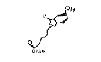 COC(=O)CCCCN1Cc2ccc(O)cc2C1=O